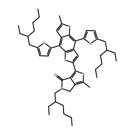 CCCCC(CC)Cc1ccc(-c2c3cc(-c4sc(C)c5c4C(=O)N(CC(CC)CCCC)C5)sc3c(-c3ccc(CC(CC)CCCC)s3)c3cc(C)sc23)s1